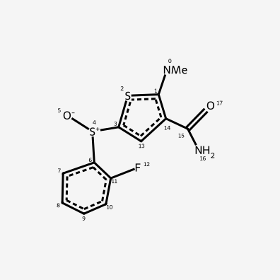 CNc1sc([S+]([O-])c2ccccc2F)cc1C(N)=O